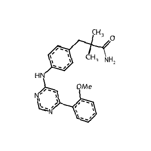 COc1ccccc1-c1cc(Nc2ccc(CC(C)(C)C(N)=O)cc2)ncn1